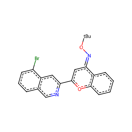 CC(C)(C)ON=c1cc(-c2cc3c(Br)cccc3cn2)oc2ccccc12